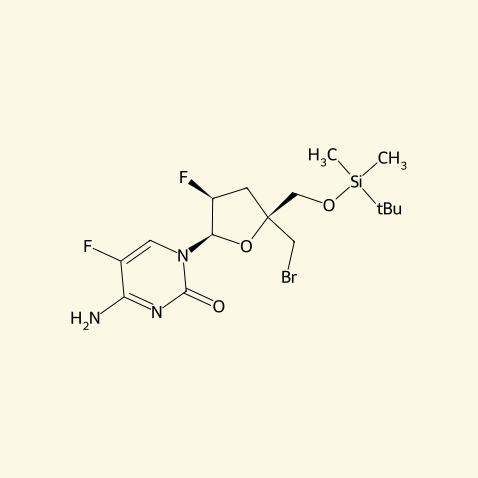 CC(C)(C)[Si](C)(C)OC[C@]1(CBr)C[C@H](F)[C@H](n2cc(F)c(N)nc2=O)O1